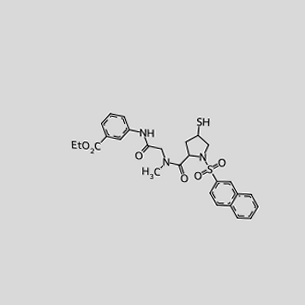 CCOC(=O)c1cccc(NC(=O)CN(C)C(=O)C2CC(S)CN2S(=O)(=O)c2ccc3ccccc3c2)c1